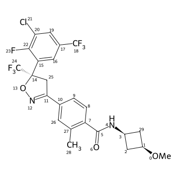 CO[C@H]1C[C@@H](NC(=O)c2ccc(C3=NO[C@](c4cc(C(F)(F)F)cc(Cl)c4F)(C(F)(F)F)C3)cc2C)C1